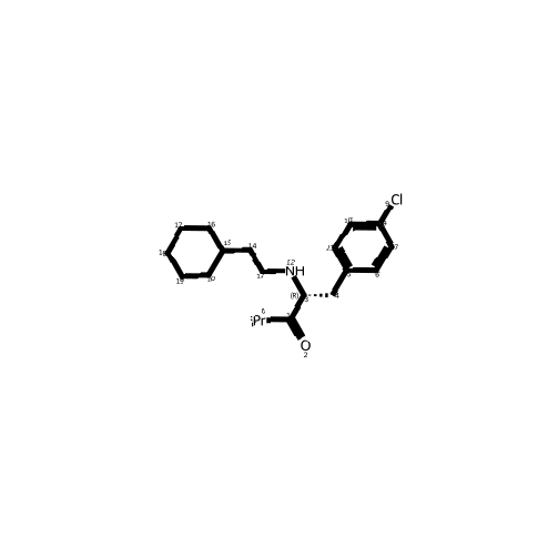 CC(C)C(=O)[C@@H](Cc1ccc(Cl)cc1)NCCC1CCCCC1